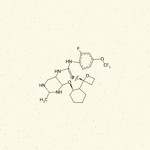 CC1NCC(NC(=O)Nc2ccc(OC(F)(F)F)cc2F)C(O[C@@H]2CCCCC2[C@@]2(C(F)(F)F)CCO2)N1